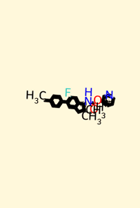 CCc1ccc(-c2cc3c(cc2F)[C@H](NC(=O)O[C@@H]2CN4CCC2CC4)C(C)(C)C3)cc1